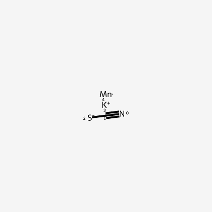 N#C[S-].[K+].[Mn]